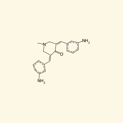 CN1CC(=Cc2cccc(N)c2)C(=O)C(=Cc2cccc(N)c2)C1